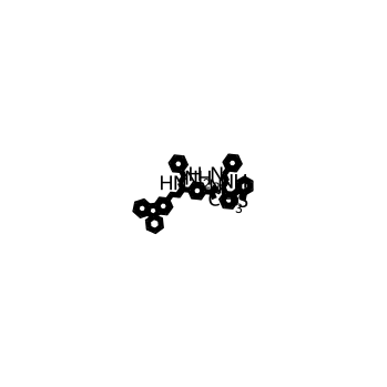 C/C(=N\C(NC(N)c1ccccc1)c1cccc2sc3ccccc3c12)c1ccc(/C(=C/Cc2ccc3c(c2)-c2ccccc2C32CCCCC2)NC(N)c2ccccc2)cc1